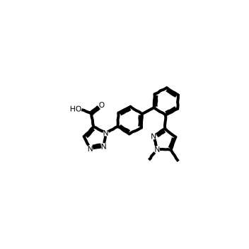 Cc1cc(-c2ccccc2-c2ccc(-n3nncc3C(=O)O)cc2)nn1C